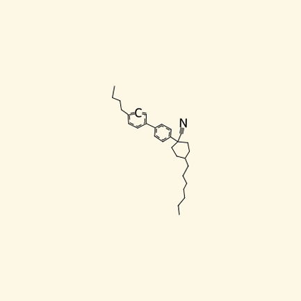 CCCCCCCC1CCC(C#N)(c2ccc(-c3ccc(CCCC)cc3)cc2)CC1